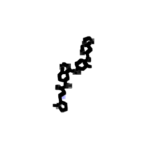 Cc1cc(Nc2ncnc3ccc(NC(=O)/C=C/C4CCCN4C)cc23)ccc1Oc1cc2nccn2cn1